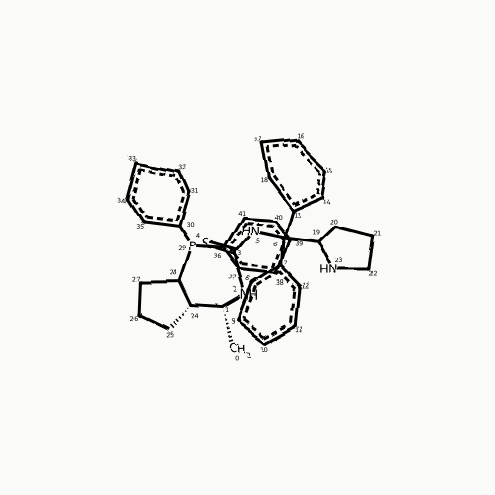 C[C@@H](NC(=S)NC(c1ccccc1)(c1ccccc1)C1CCCN1)[C@@H]1CCCC1P(c1ccccc1)c1ccccc1